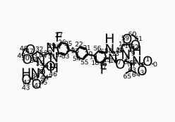 COC(=O)N[C@H](C(=O)N1CC2(C[C@H]1c1nc3c(F)cc(-c4ccc(-c5cc(F)c6nc([C@@H]7CC8(CN7C(=O)[C@@H](NC(=O)OC)C(C)C)OCCO8)[nH]c6c5)cc4)cc3[nH]1)OCCO2)C(C)C